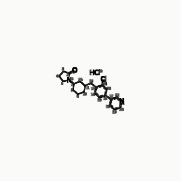 Cl.O=C1CCCN1C1CCCC(Cc2ccc(-c3cccnc3)cc2Cl)C1